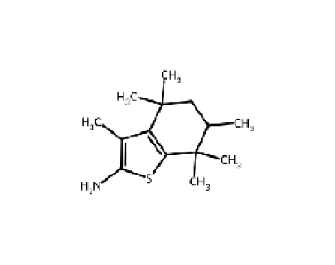 Cc1c(N)sc2c1C(C)(C)CC(C)C2(C)C